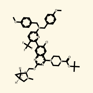 COc1ccc(CN(Cc2ccc(OC)cc2)c2ccc(C(F)(F)F)c(-c3cc4nc(OC[C@@H]5[C@H]6C[C@@H]6CN5C)nc(N5CCN(C(=O)OC(C)(C)C)CC5)c4cc3Cl)n2)cc1